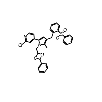 Cc1c(Cc2ccccc2S(=O)(=O)c2ccccc2)cc(-c2ccnc(Cl)c2)n1CC1OC(c2ccccc2)O1